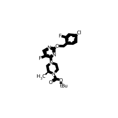 C[C@H]1CN(c2nc(OCc3ccc(Cl)cc3F)ncc2F)CCN1C(=O)OC(C)(C)C